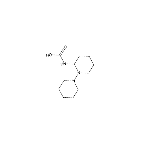 O=C(O)NC1CCCCN1N1CCCCC1